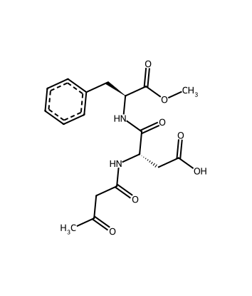 COC(=O)[C@H](Cc1ccccc1)NC(=O)[C@H](CC(=O)O)NC(=O)CC(C)=O